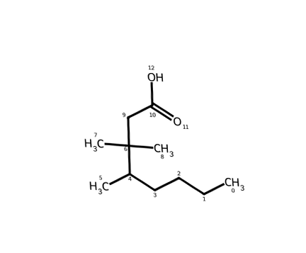 CCCCC(C)C(C)(C)CC(=O)O